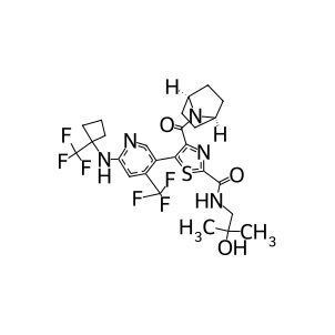 CC(C)(O)CNC(=O)c1nc(C(=O)N2[C@H]3CC[C@@H]2CC3)c(-c2cnc(NC3(C(F)(F)F)CCC3)cc2C(F)(F)F)s1